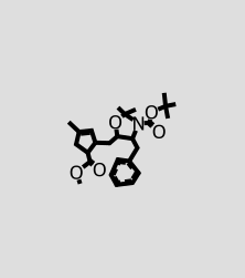 COC(=O)C1CC(C)=CC1CC1OC(C)(C)N(C(=O)OC(C)(C)C)C1Cc1ccccc1